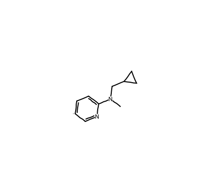 CN(CC1CC1)c1cc[c]cn1